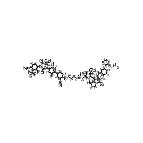 Cc1ncsc1-c1ccc(CNC(=O)C2CCCN2C(=O)C(NC(=O)COCCCCOc2ccc(-c3ncc(N4C(=S)N(c5ccc(C#N)c(C(F)(F)F)c5F)C(=O)C4(C)C)cc3F)cc2C#N)C(C)(C)C)cc1